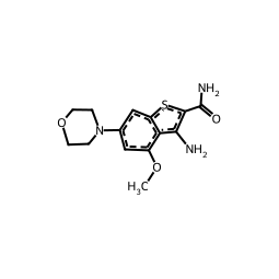 COc1cc(N2CCOCC2)cc2sc(C(N)=O)c(N)c12